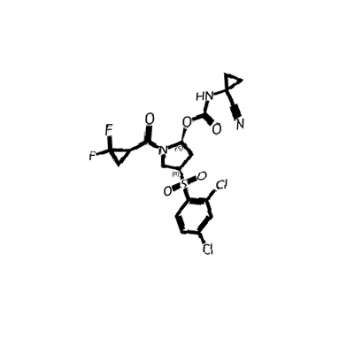 N#CC1(NC(=O)O[C@H]2C[C@@H](S(=O)(=O)c3ccc(Cl)cc3Cl)CN2C(=O)C2CC2(F)F)CC1